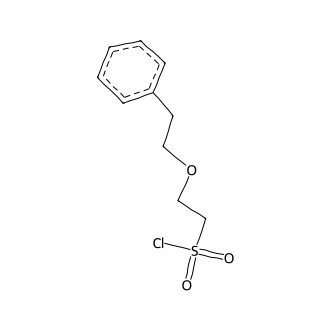 O=S(=O)(Cl)CCOCCc1ccccc1